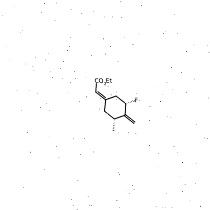 C=C1[C@H](C)C/C(=C/C(=O)OCC)C[C@@H]1F